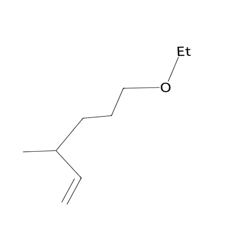 [CH2]COCCCC(C)C=C